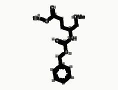 COCC(CCC(=O)OC(C)(C)C)NC(=O)OCc1ccccc1